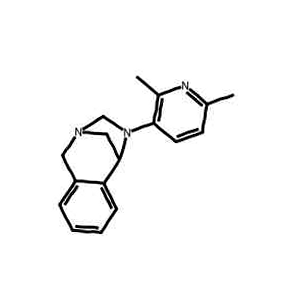 Cc1ccc(N2CN3Cc4ccccc4C2C3)c(C)n1